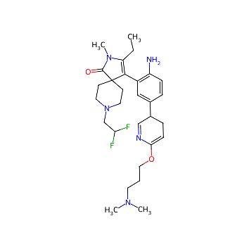 CCC1=C(c2cc(C3C=NC(OCCCN(C)C)=CC3)ccc2N)C2(CCN(CC(F)F)CC2)C(=O)N1C